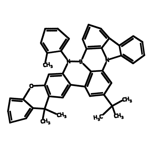 Cc1ccccc1N1B2c3c(cc(C(C)(C)C)cc3-n3c4ccccc4c4cccc2c43)-c2cc3c(cc21)Oc1ccccc1C3(C)C